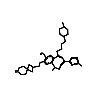 CCCc1cc2c(cc1CCC1CC3(CCNCC3)C1)C(C)C/C=C(c1ccc(C)o1)/C=C\2CCCCC1CCN(C)CC1